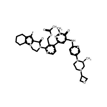 CC(=O)OCc1c(-c2cc(Nc3ccc(N4CCN(C5COC5)C[C@@H]4C)cn3)c(=O)n(C)n2)ccnc1N1CCn2c3c(c(F)c2C1=O)CCCC3